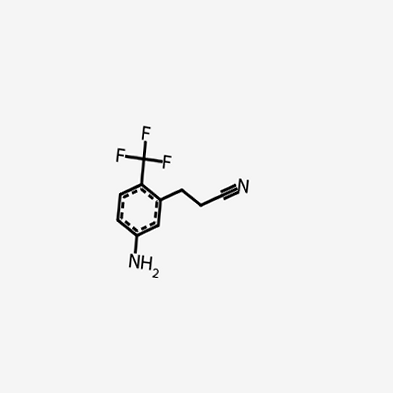 N#CCCc1cc(N)ccc1C(F)(F)F